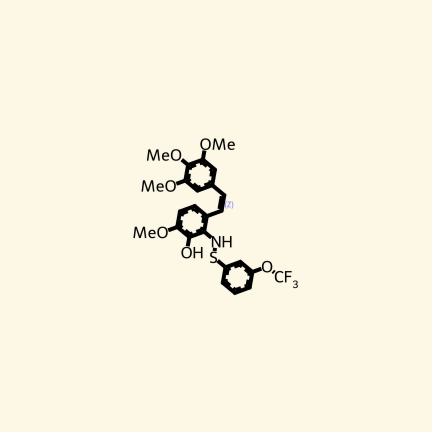 COc1ccc(/C=C\c2cc(OC)c(OC)c(OC)c2)c(NSc2cccc(OC(F)(F)F)c2)c1O